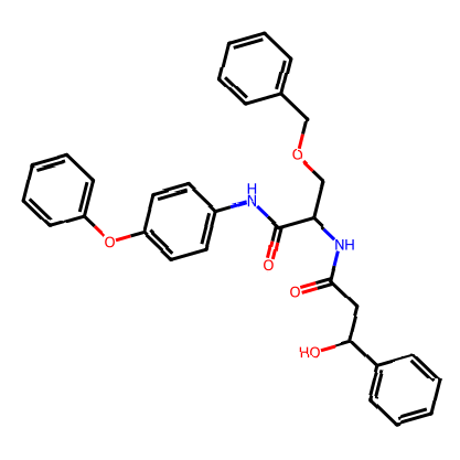 O=C(CC(O)c1ccccc1)NC(COCc1ccccc1)C(=O)Nc1ccc(Oc2ccccc2)cc1